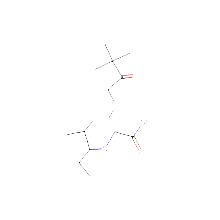 CCC(N[C@H](CSCC(=O)C(C)(C)C)C(N)=O)C(C)C